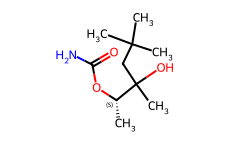 C[C@H](OC(N)=O)C(C)(O)CC(C)(C)C